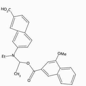 CCN(c1ccc2ccc(C(=O)O)cc2c1)C(C)OC(=O)c1cc(OC)c2ccccc2c1